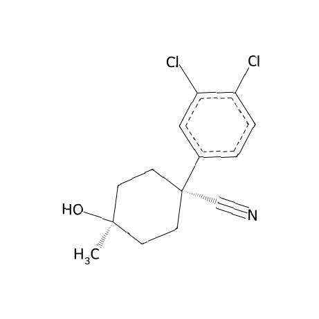 C[C@]1(O)CC[C@@](C#N)(c2ccc(Cl)c(Cl)c2)CC1